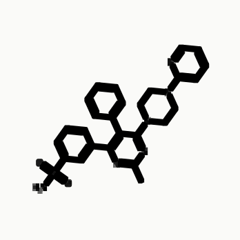 Cc1nc(-c2cccc(S(N)(=O)=O)c2)c(-c2ccccc2)c(N2CCN(c3ccccn3)CC2)n1